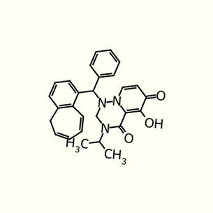 CC(C)N1CN(C(c2ccccc2)c2cccc3c2C=CC=CC3)n2ccc(=O)c(O)c2C1=O